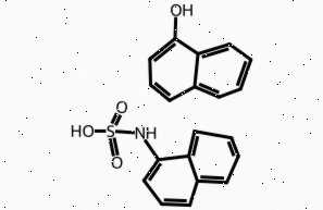 O=S(=O)(O)Nc1cccc2ccccc12.Oc1cccc2ccccc12